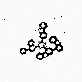 C1=Cc2c(oc3cc(-c4cccc5oc6ccccc6c45)cc(-c4nc(-c5ccc6c(c5)sc5ccccc56)nc(-c5ccc(-c6ccccc6)c6ccccc56)n4)c23)CC1